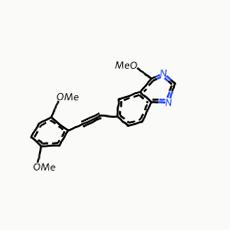 COc1ccc(OC)c(C#Cc2ccc3ncnc(OC)c3c2)c1